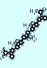 Cc1cc(C)cc(-n2c3ccccc3c3cc(-c4ccc5c(c4)C(C)(C)c4cc(-c6ccc7c(c6)C(C)(C)c6cc(-c8ccc9c(c8)C(C)(C)c8cc(-c%10ccc%11c(c%10)c%10ccccc%10n%11-c%10cc(C)cc(C)c%10)ccc8-9)ccc6-7)ccc4-5)ccc32)c1